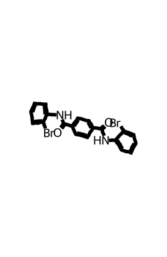 O=C(Nc1ccccc1Br)c1ccc(C(=O)Nc2ccccc2Br)cc1